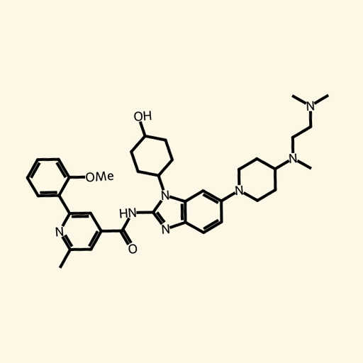 COc1ccccc1-c1cc(C(=O)Nc2nc3ccc(N4CCC(N(C)CCN(C)C)CC4)cc3n2C2CCC(O)CC2)cc(C)n1